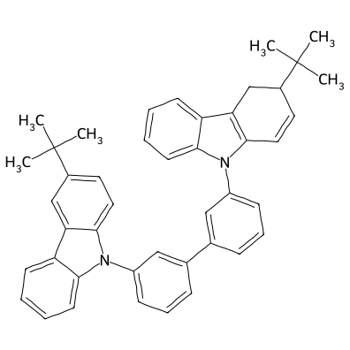 CC(C)(C)c1ccc2c(c1)c1ccccc1n2-c1cccc(-c2cccc(-n3c4c(c5ccccc53)CC(C(C)(C)C)C=C4)c2)c1